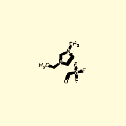 CCN1C=CN(C)C1.O=CS(F)(F)F